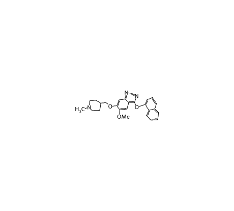 COc1cc2c(Oc3cccc4ccccc34)ncnc2cc1OCC1CCN(C)CC1